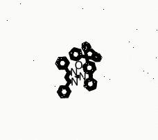 c1ccc(-c2cc(-c3ccccc3)nc(-n3c4ccccc4c4ccc5c(c43)Oc3ccccc3C53c4ccccc4-c4ccccc43)n2)cc1